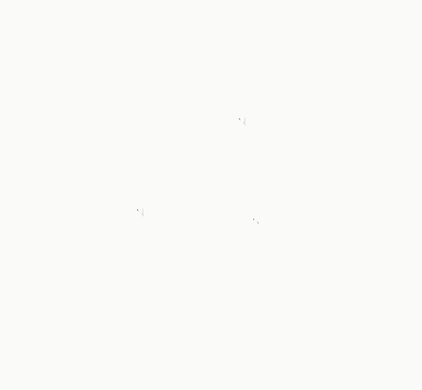 CN1CCC(N(C)c2cccc3c2CCNC3)CC1